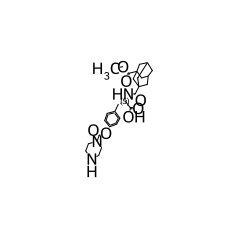 COC(=O)C12CC3CC(CC(C(=O)N[C@@H](Cc4ccc(OC(=O)N5CCNCC5)cc4)C(=O)O)(C3)C1)C2